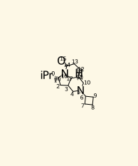 CC(C)[C@H]1CC2CN(C3CCC3)C[C@H]3CCC(=O)N1C23